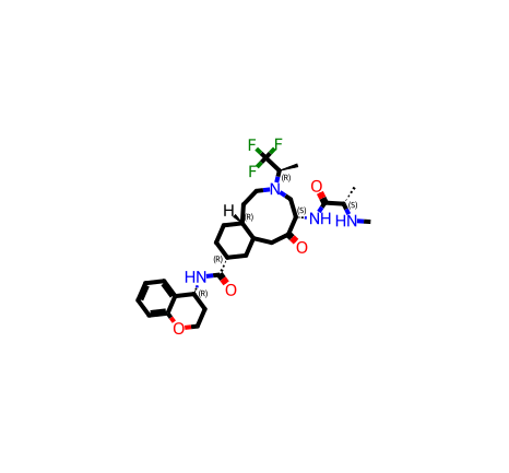 CN[C@@H](C)C(=O)N[C@H]1CN([C@H](C)C(F)(F)F)CC[C@H]2CC[C@@H](C(=O)N[C@@H]3CCOc4ccccc43)CC2CC1=O